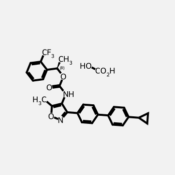 Cc1onc(-c2ccc(-c3ccc(C4CC4)cc3)cc2)c1NC(=O)O[C@H](C)c1ccccc1C(F)(F)F.O=C(O)O